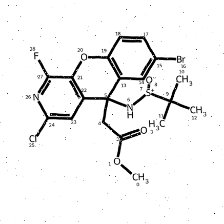 COC(=O)CC1(N[S+]([O-])C(C)(C)C)c2cc(Br)ccc2Oc2c1cc(Cl)nc2F